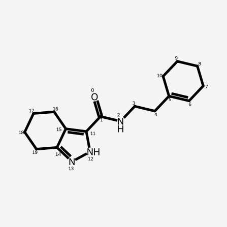 O=C(NCCC1=CCCCC1)c1[nH]nc2c1CCCC2